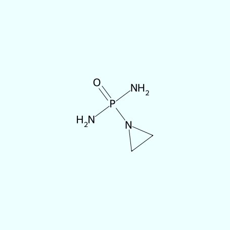 NP(N)(=O)N1CC1